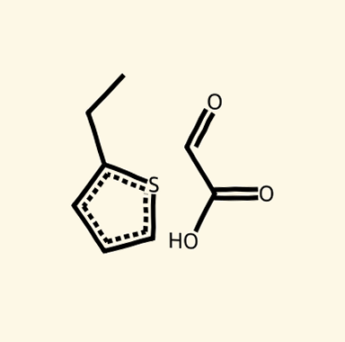 CCc1cccs1.O=CC(=O)O